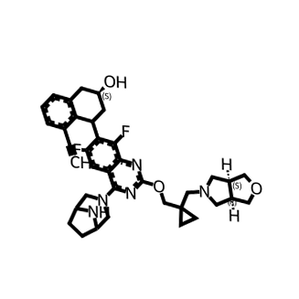 C#Cc1cccc2c1C(c1c(F)cc3c(N4CC5CCC(C4)N5)nc(OCC4(CN5C[C@H]6COC[C@H]6C5)CC4)nc3c1F)C[C@H](O)C2